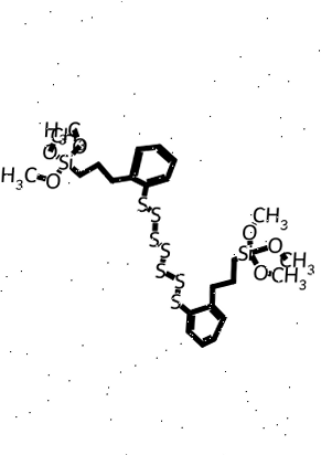 CO[Si](CCCc1ccccc1SSSSSSSc1ccccc1CCC[Si](OC)(OC)OC)(OC)OC